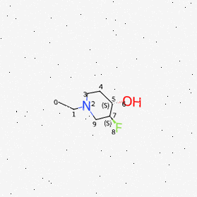 CCN1CC[C@H](O)[C@@H](F)C1